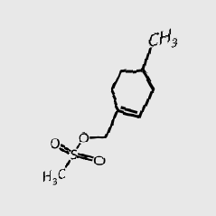 CC1CC=C(COS(C)(=O)=O)CC1